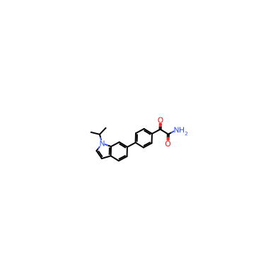 CC(C)n1ccc2ccc(-c3ccc(C(=O)C(N)=O)cc3)cc21